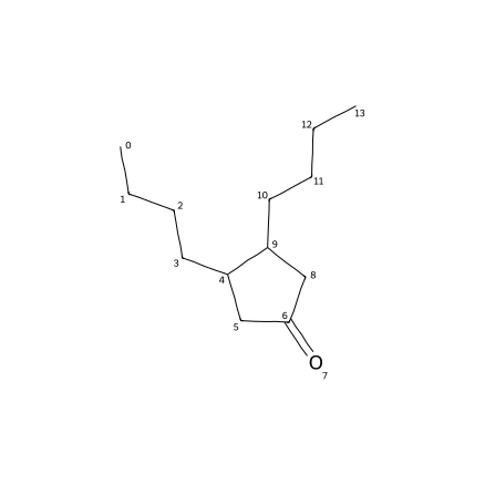 CCCCC1CC(=O)CC1CCCC